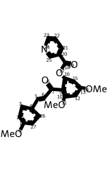 COc1ccc(C=CC(=O)c2c(OC)cc(OC)cc2OC(=O)c2cccnc2)cc1